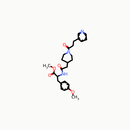 COC(=O)C(Cc1ccc(OC)cc1)NC(=O)CC1CCN(C(=O)CCc2cccnc2)CC1